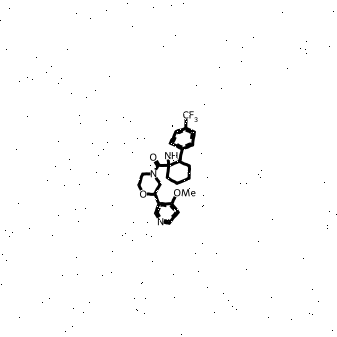 COc1ccncc1C1CN(C(=O)C2(N)CCCCC2c2ccc(C(F)(F)F)cc2)CCO1